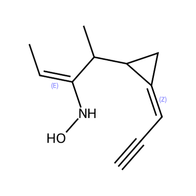 C#C/C=C1/CC1C(C)/C(=C\C)NO